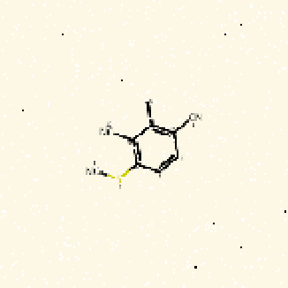 Cc1c(C#N)ccc(SC#N)c1C#N